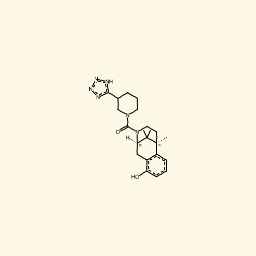 CC1(C)[C@H]2Cc3c(O)cccc3[C@]1(C)CCN2C(=O)N1CCCC(c2nnn[nH]2)C1